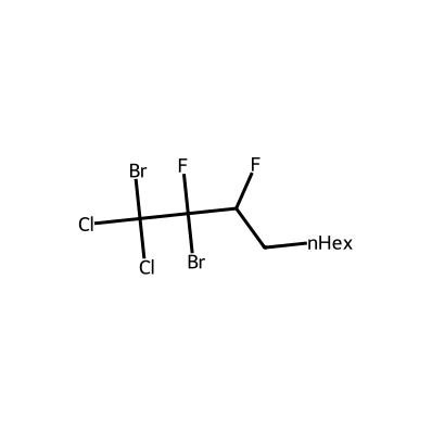 CCCCCCCC(F)C(F)(Br)C(Cl)(Cl)Br